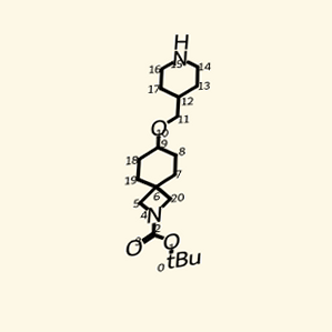 CC(C)(C)OC(=O)N1CC2(CCC(OCC3CCNCC3)CC2)C1